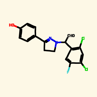 O=CC(c1cc(F)c(Cl)cc1Cl)N1CCC(c2ccc(O)cc2)=N1